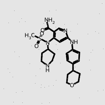 CS(=O)(=O)N(c1cc(Nc2ccc(C3CCOCC3)cc2)ncc1C(N)=O)C1CCNCC1